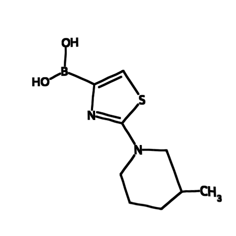 CC1CCCN(c2nc(B(O)O)cs2)C1